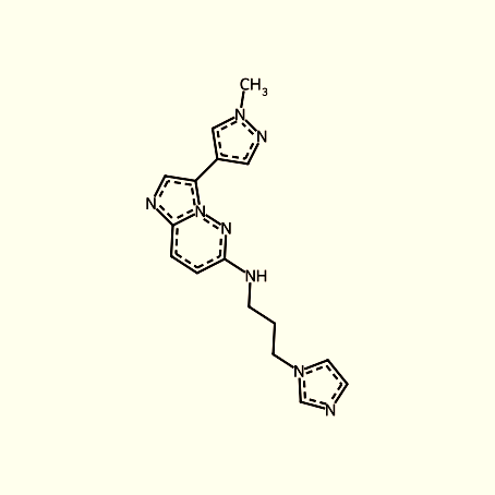 Cn1cc(-c2cnc3ccc(NCCCn4ccnc4)nn23)cn1